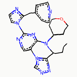 CCC1c2nncn2-c2cnc(-n3ccnc3-c3ccncc3)nc2N1C1CCOCC1